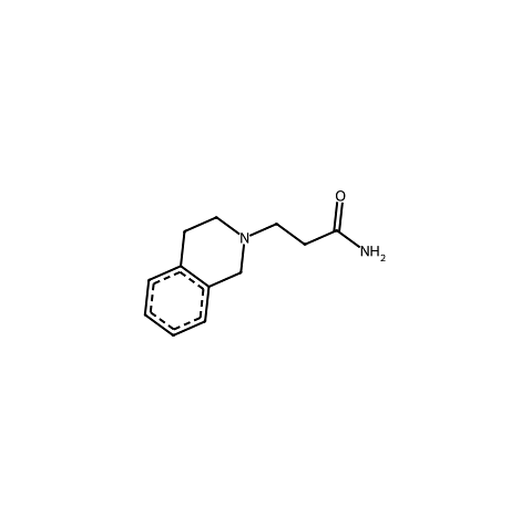 NC(=O)CCN1CCc2ccccc2C1